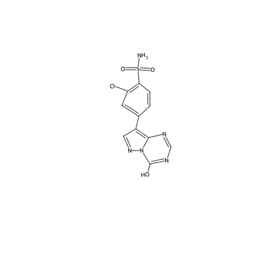 NS(=O)(=O)c1ccc(-c2cnn3c(O)ncnc23)cc1Cl